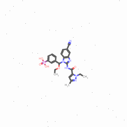 CCOC(c1cccc(P(=O)(O)O)c1)n1c(NC(=O)c2cc(C)nn2CC)nc2cc(C#N)ccc21